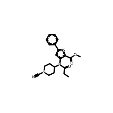 CCC(=O)N(c1cc(-c2ccccc2)sc1C(=O)OC)C1CCN(C#N)CC1